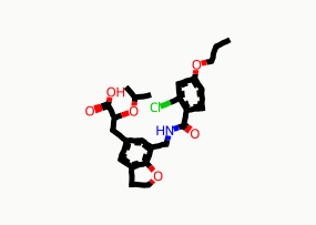 CCCOc1ccc(C(=O)NCc2cc(CC(OC(C)C)C(=O)O)cc3c2OCC3)c(Cl)c1